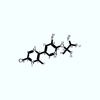 Cc1nc(Cl)cnc1-c1cnc(OC(C)(F)C(F)F)c(F)c1